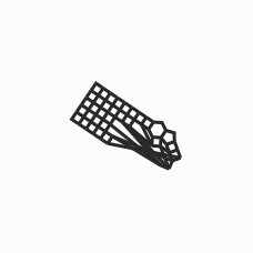 C1C2C3C4C5C6C7C8C9CC%10C%11C%12C%13CC%14C%15C%16C%17C%18C%19C%20C%21CC1C1%22C%21C%20%21C%19%20C%18%19C%17%18C%16%17C%15%16C%13%14C%12%13C%11%12C%109C89C78C67C56C45C34C2C1C41C%22%21C%202C51C61C%192C%182C%173C%13%16C%129C83C712